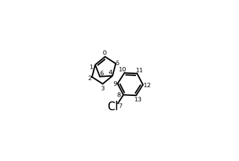 C1=C2CCC(C1)C2.Clc1ccccc1